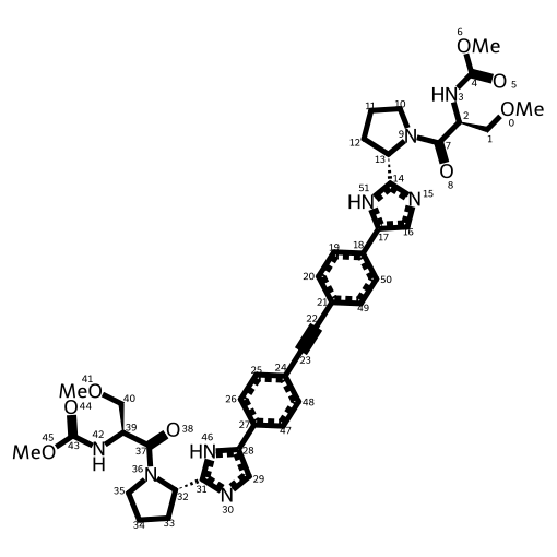 COC[C@H](NC(=O)OC)C(=O)N1CCC[C@H]1c1ncc(-c2ccc(C#Cc3ccc(-c4cnc([C@@H]5CCCN5C(=O)[C@H](COC)NC(=O)OC)[nH]4)cc3)cc2)[nH]1